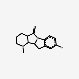 CN1CCCC2C(=O)N3c4ccc(F)cc4CC3C21